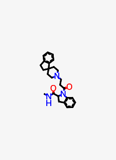 CNC(=O)C1Cc2ccccc2N1C(=O)CCN1CCC2(CCc3ccccc32)CC1